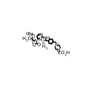 C[C@H](Nc1nccc(N2C(=O)OC[C@@H]2[C@@H](C)OC(C)(C)C)n1)c1ccc(CN2CCN(C(=O)O)CC2)cc1